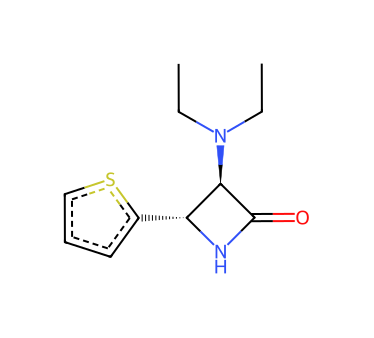 CCN(CC)[C@H]1C(=O)N[C@@H]1c1cccs1